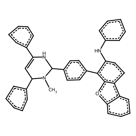 CN1C(c2ccccc2)C=C(c2ccccc2)NC1c1ccc(-c2c(Nc3ccccc3)ccc3c2oc2ccccc23)cc1